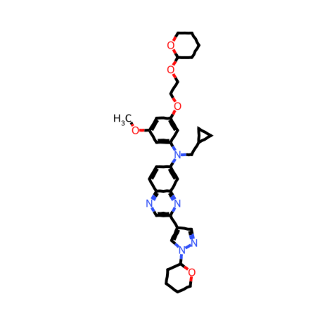 COc1cc(OCCOC2CCCCO2)cc(N(CC2CC2)c2ccc3ncc(-c4cnn(C5CCCCO5)c4)nc3c2)c1